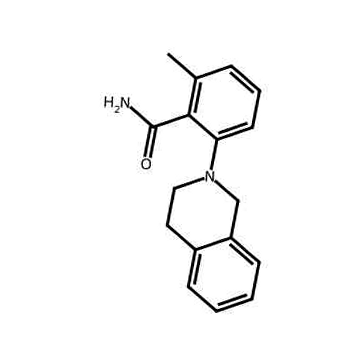 Cc1cccc(N2CCc3ccccc3C2)c1C(N)=O